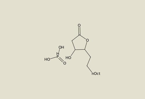 CCCCCCCCCCC1OC(=O)CC1O.O=[PH](O)O